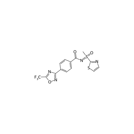 CS(=O)(=NC(=O)c1ccc(-c2noc(C(F)(F)F)n2)cc1)c1nccs1